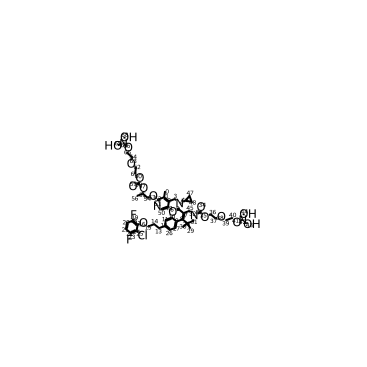 Cc1c(CN(C(=O)C2=C(c3ccc(CCCOc4c(F)ccc(F)c4Cl)cc3)C(C)(C)CN(C(=O)OCCOCCON(O)O)C2)C2CC2)ccnc1OCC(C)OC(=O)OCCOCCON(O)O